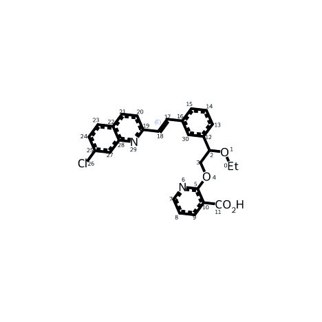 CCOC(COc1ncccc1C(=O)O)c1cccc(/C=C/c2ccc3ccc(Cl)cc3n2)c1